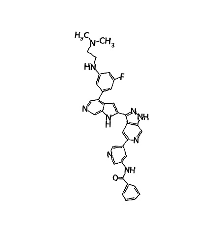 CN(C)CCNc1cc(F)cc(-c2cncc3[nH]c(-c4n[nH]c5cnc(-c6cncc(NC(=O)c7ccccc7)c6)cc45)cc23)c1